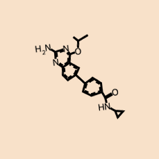 CC(C)Oc1nc(N)nc2ccc(-c3ccc(C(=O)NC4CC4)cc3)cc12